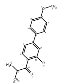 COc1ccc(-c2ccc(C(=O)C(C)C)c(Cl)c2)cc1